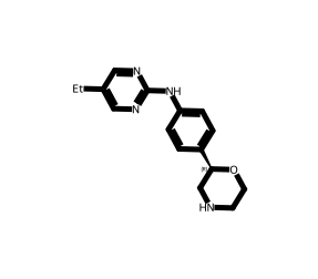 CCc1cnc(Nc2ccc([C@@H]3CNCCO3)cc2)nc1